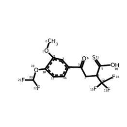 COc1cc(C(=O)CC(C(O)=S)C(F)(F)F)ccc1OC(F)F